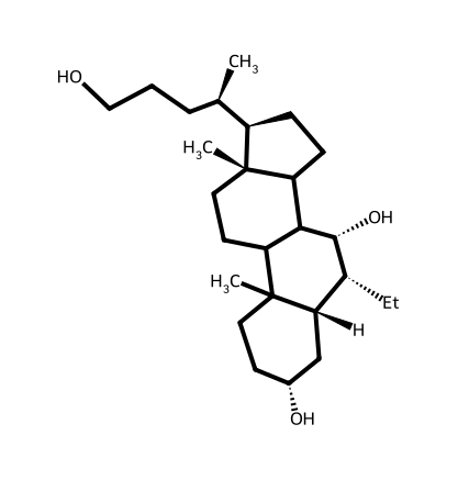 CC[C@H]1[C@@H](O)C2C(CC[C@@]3(C)C2CC[C@@H]3[C@H](C)CCCO)C2(C)CC[C@@H](O)C[C@@H]12